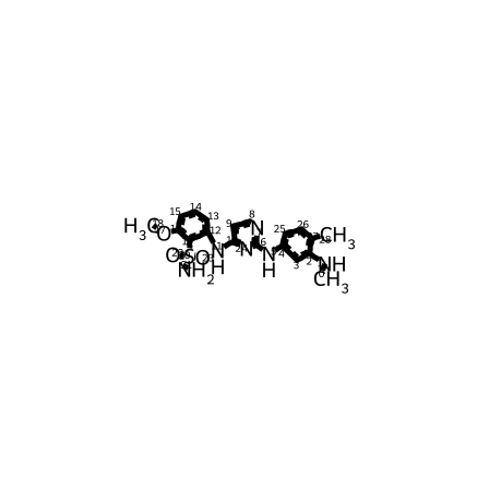 CNc1cc(Nc2nccc(Nc3cccc(OC)c3S(N)(=O)=O)n2)ccc1C